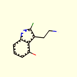 NCCc1c(Cl)[nH]c2cccc(O)c12